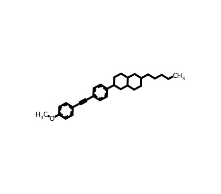 CCCCCC1CCC2CC(c3ccc(C#Cc4ccc(OC)cc4)cc3)CCC2C1